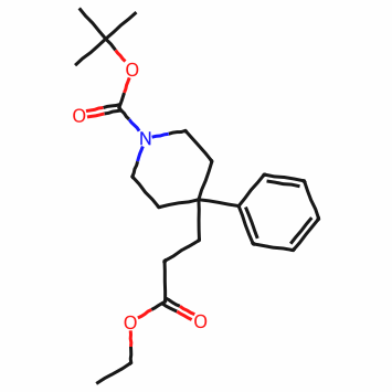 CCOC(=O)CCC1(c2ccccc2)CCN(C(=O)OC(C)(C)C)CC1